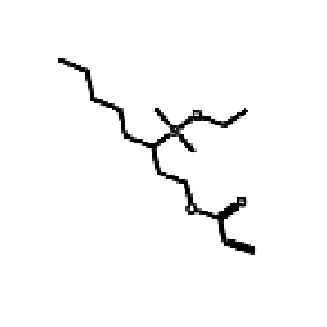 C=CC(=O)OCCC(CCCCC)[Si](C)(C)OCC